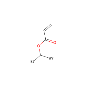 C=CC(=O)OC(CC)C(C)C